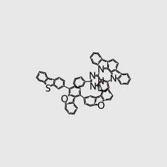 c1ccc(-c2nc(-c3cccc4oc5ccc(-c6ccc(-c7ccc8c(c7)sc7ccccc78)c7oc8ccccc8c67)cc5c34)nc(-n3c4ccccc4c4ccc5c6ccccc6n(-c6ccccc6)c5c43)n2)cc1